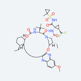 CC[C@H]1CCC[C@H]2OC(=O)N[C@@H](C(C)(C)C)C(=O)N3C[C@H](Oc4nc5cc(OC)ccc5nc4CCCCC[C@H]12)[C@@H](CC)[C@H]3C(=O)N[C@]1(C(=O)NS(=O)(=O)C2(C)CC2)C[C@H]1C(F)F